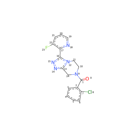 O=C(c1ccccc1Cl)N1CCn2c(nnc2-c2ncccc2F)C1